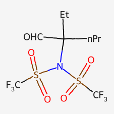 CCCC(C=O)(CC)N(S(=O)(=O)C(F)(F)F)S(=O)(=O)C(F)(F)F